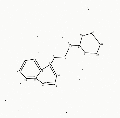 c1ccc2c(CCOC3CCCCC3)cccc2c1